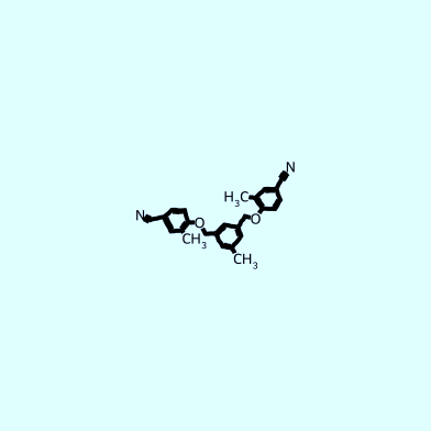 Cc1cc(COc2ccc(C#N)cc2C)cc(COc2ccc(C#N)cc2C)c1